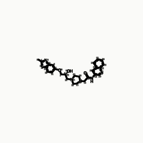 Cc1nc2cc(OC[C@H](O)CN3CCN(CC(=O)Nc4cnc5ccccc5c4)CC3)ccc2s1